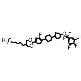 CCCCCCC1COC(c2ccc(C3CCC(C4CCC(OC(F)(F)c5cc(F)c(F)c(F)c5)CC4)CC3)c(F)c2)OC1